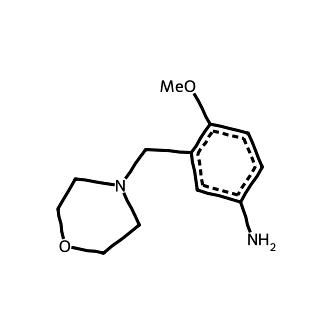 COc1ccc(N)cc1CN1CCOCC1